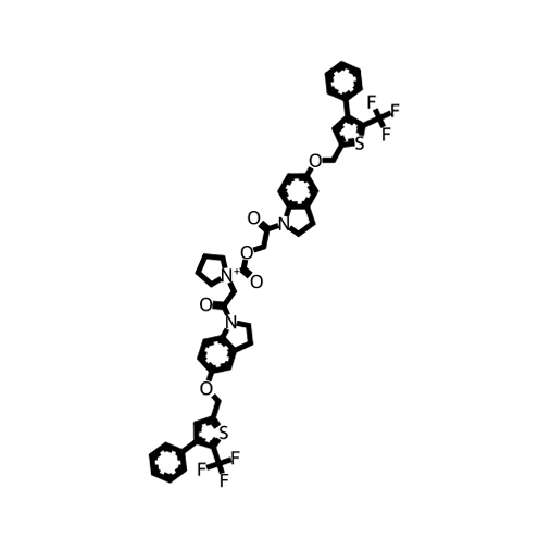 O=C(COC(=O)[N+]1(CC(=O)N2CCc3cc(OCc4cc(-c5ccccc5)c(C(F)(F)F)s4)ccc32)CCCC1)N1CCc2cc(OCc3cc(-c4ccccc4)c(C(F)(F)F)s3)ccc21